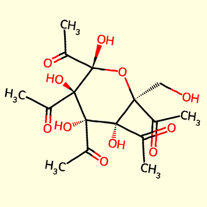 CC(=O)[C@@]1(O)[C@](O)(C(C)=O)[C@](O)(C(C)=O)O[C@@](CO)(C(C)=O)[C@@]1(O)C(C)=O